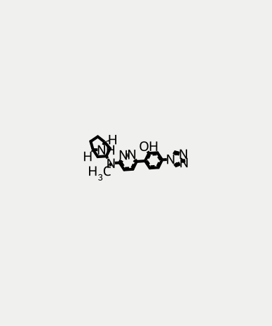 CN(c1ccc(-c2ccc(-n3cnnc3)cc2O)nn1)C1C[C@H]2CC[C@@H](C1)N2